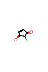 O=C1C=CC(=O)C1Cl